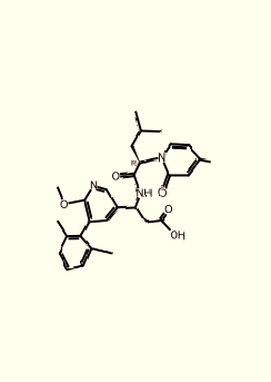 COc1ncc(C(CC(=O)O)NC(=O)[C@@H](CC(C)C)n2ccc(C)cc2=O)cc1-c1c(C)cccc1C